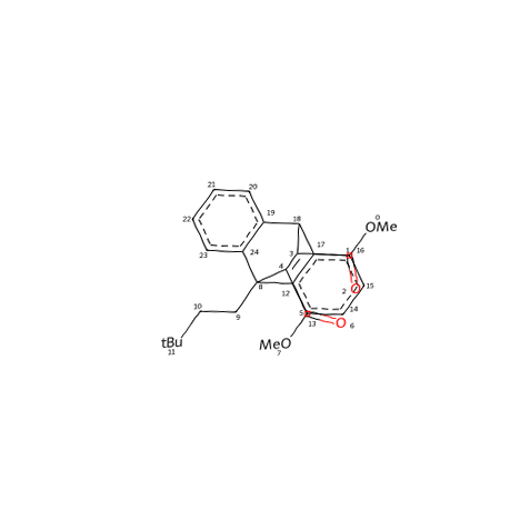 COC(=O)C1=C(C(=O)OC)C2(CCC(C)(C)C)c3ccccc3C1c1ccccc12